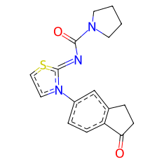 O=C1CCc2cc(-n3ccsc3=NC(=O)N3CCCC3)ccc21